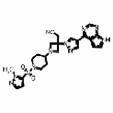 Cn1nccc1S(=O)(=O)N1CCC(N2CC(CC#N)(n3cc(-c4ncnc5[nH]ccc45)cn3)C2)CC1